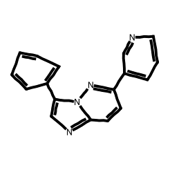 c1ccc(-c2cnc3ccc(-c4cccnc4)nn23)cc1